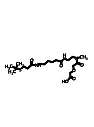 CN(CCNC(=O)CCCCCNC(=O)CCSC(C)(C)C)C(=O)COCC(=O)O